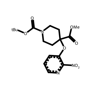 COC(=O)C1(Oc2cccnc2[N+](=O)[O-])CCN(C(=O)OC(C)(C)C)CC1